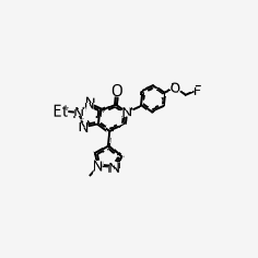 CCn1nc2c(-c3cnn(C)c3)cn(-c3ccc(OCF)cc3)c(=O)c2n1